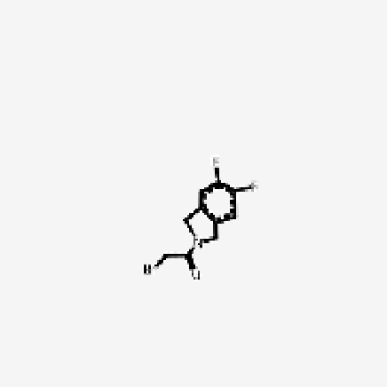 O=C(CBr)N1Cc2cc(F)c(F)cc2C1